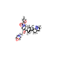 Cc1c(-c2ccc(C(OCCCN3CCOCC3)C3CCN(C(=O)[C@H]4CCCO4)CC3)cc2)ccc2cccnc12